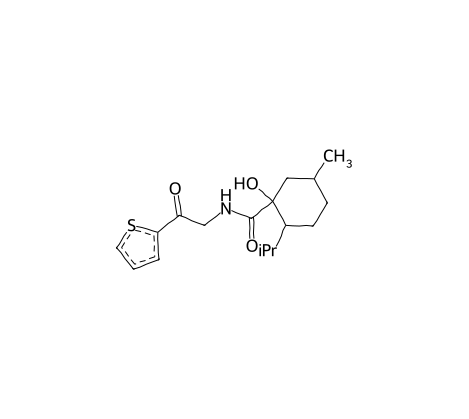 CC1CCC(C(C)C)C(O)(C(=O)NCC(=O)c2cccs2)C1